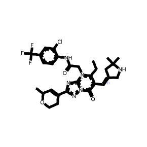 CCc1c(/C=C2/CNC(C)(C)C2)c(=O)n2nc(C3=CC(C)OCC3)nc2n1CC(=O)Nc1ccc(C(F)(F)F)cc1Cl